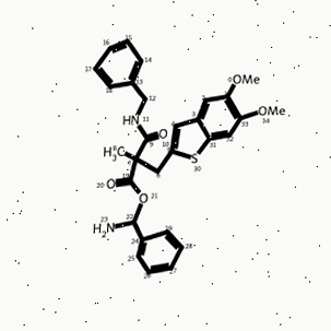 COc1cc2cc(CC(C)(C(=O)NCc3ccccc3)C(=O)OC(N)c3ccccc3)sc2cc1OC